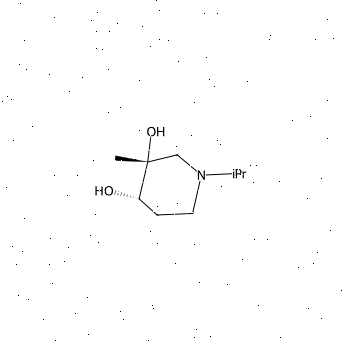 CC(C)N1CC[C@H](O)[C@](C)(O)C1